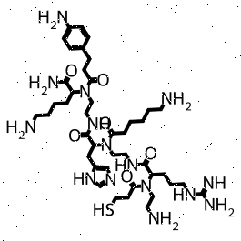 N=C(N)NCCCC(C(=O)NCCN(C(=O)CCCCCN)C(Cc1cnc[nH]1)C(=O)NCCN(C(=O)CCc1ccc(N)cc1)C(CCCCN)C(N)=O)N(CCN)C(=O)CCS